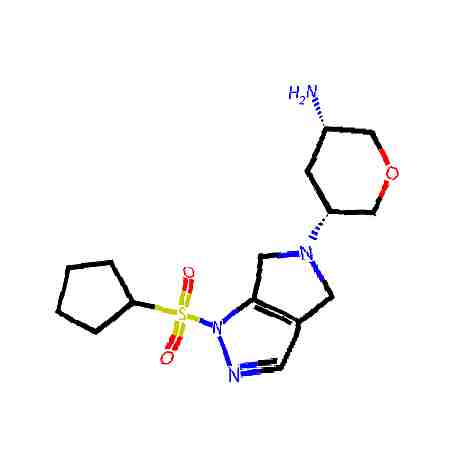 N[C@@H]1COC[C@H](N2Cc3cnn(S(=O)(=O)C4CCCC4)c3C2)C1